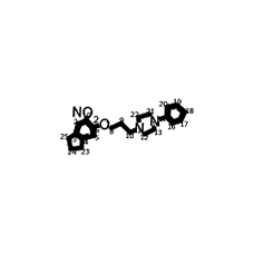 O=[N+]([O-])c1cc2c(cc1OCCCN1CCN(c3ccccc3)CC1)CCC2